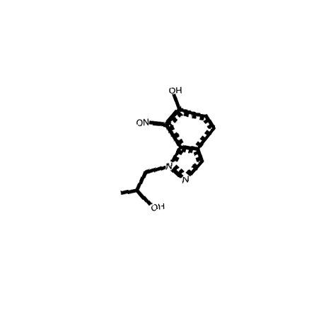 CC(O)Cn1ncc2ccc(O)c(N=O)c21